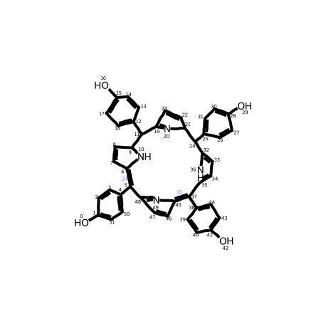 Oc1ccc(/C2=C3\C=CC(N3)C(c3ccc(O)cc3)C3=NC(C=C3)C(c3ccc(O)cc3)c3ccc([nH]3)/C(c3ccc(O)cc3)=C3/C=CC2=N3)cc1